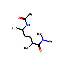 CC(CCC(C)C(=O)N(C)C(C)C)NC(=O)C(C)C